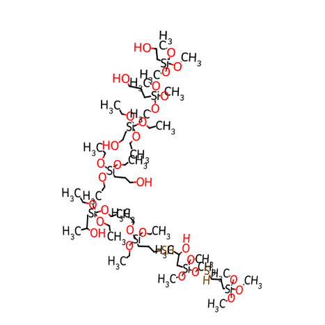 CCO[Si](CC(C)O)(OCC)OCC.CCO[Si](CCCO)(OCC)OCC.CCO[Si](CCCS)(OCC)OCC.CCO[Si](CCO)(OCC)OCC.CO[Si](CC(C)O)(OC)OC.CO[Si](CCCO)(OC)OC.CO[Si](CCCS)(OC)OC.CO[Si](CCO)(OC)OC